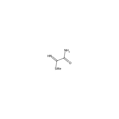 CSC(=N)C(N)=O